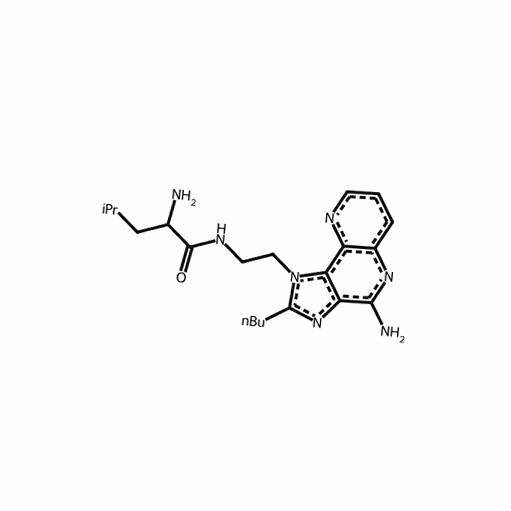 CCCCc1nc2c(N)nc3cccnc3c2n1CCNC(=O)C(N)CC(C)C